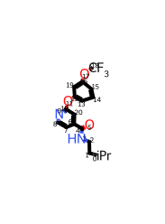 CC(C)CCNC(=O)c1ccnc(Oc2cccc(OC(F)(F)F)c2)c1